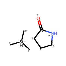 C[SiH](C)C.O=C1CCCN1